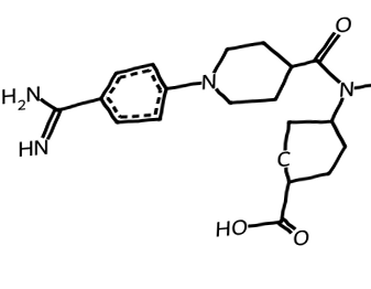 CN(C(=O)C1CCN(c2ccc(C(=N)N)cc2)CC1)C1CCC(C(=O)O)CC1